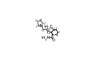 Cc1cccc(C(N)=O)c1OCCN1CCCC1